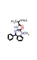 CCCCCCC(C)C(=O)N[C@H]1N=C(c2ccccc2)c2ccccc2N(C)C1=O